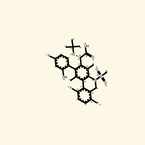 Cc1c(-c2ccc(F)cc2O)c([C@H](OC(C)(C)C)C(=O)O)c(C)c2c1-c1c(F)ccc(F)c1CN2S(C)(=O)=O